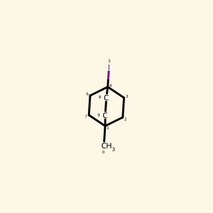 CC12CCC(I)(CC1)CC2